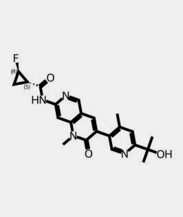 Cc1cc(C(C)(C)O)ncc1-c1cc2cnc(NC(=O)[C@@H]3C[C@H]3F)cc2n(C)c1=O